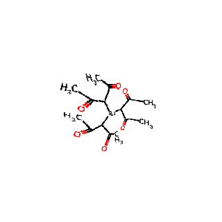 CC(=O)[CH](C(C)=O)[Ru]([CH](C(C)=O)C(C)=O)[CH](C(C)=O)C(C)=O